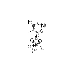 Cc1c(F)cncc1B1OC(C)(C)C(C)(C)O1